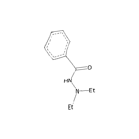 CCN(CC)NC(=O)c1ccccc1